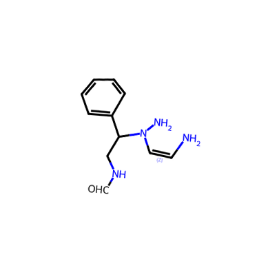 N/C=C\N(N)C(CNC=O)c1ccccc1